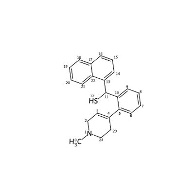 CN1CC=C(c2ccccc2C(S)c2cccc3ccccc23)CC1